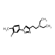 CCN(CC)CCc1cn(-c2ccc(C)c(F)c2)nn1